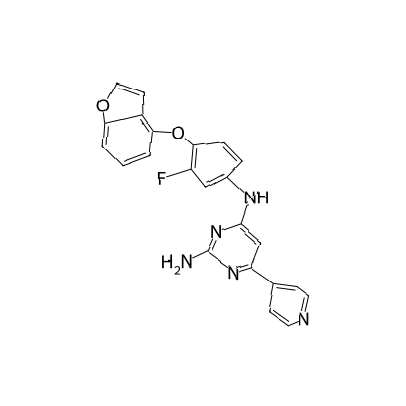 Nc1nc(Nc2ccc(Oc3cccc4occc34)c(F)c2)cc(-c2ccncc2)n1